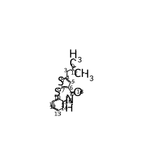 CC(C)Cc1cc2c(s1)Sc1ccccc1NC2=O